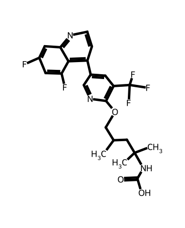 CC(COc1ncc(-c2ccnc3cc(F)cc(F)c23)cc1C(F)(F)F)CC(C)(C)NC(=O)O